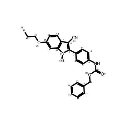 CCn1c(-c2ccc(NC(=O)OCc3ccccc3)cc2)c(C#N)c2ccc(OCCF)cc21